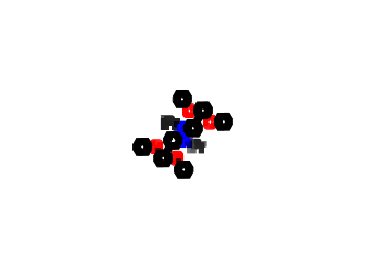 CC(C)N1c2ccc(-c3c(Oc4ccccc4)cccc3Oc3ccccc3)cc2N(C(C)C)C2C=CC(c3c(Oc4ccccc4)cccc3Oc3ccccc3)=CC21